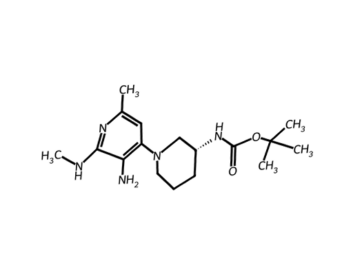 CNc1nc(C)cc(N2CCC[C@@H](NC(=O)OC(C)(C)C)C2)c1N